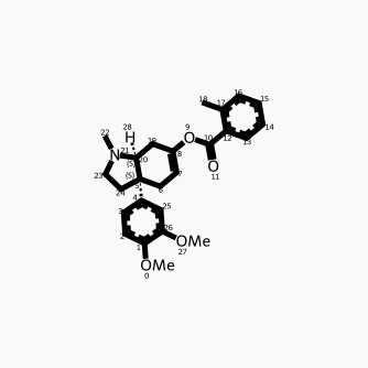 COc1ccc([C@@]23CC=C(OC(=O)c4ccccc4C)C[C@@H]2N(C)CC3)cc1OC